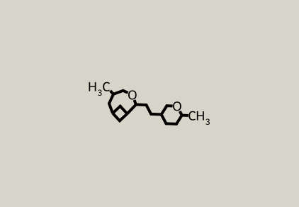 CC1COC(CCC2CCC(C)OC2)C2CC(C1)C2